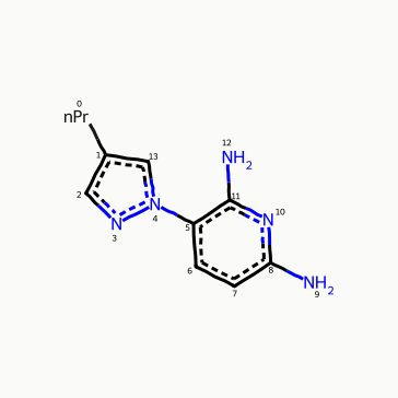 CCCc1cnn(-c2ccc(N)nc2N)c1